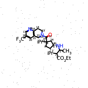 CCOC(=O)C(C(C)C)C(C)N[C@@H]1CC[C@@](C(=O)N2CCc3ncc(C(F)(F)F)cc3C2)(C(C)C)C1